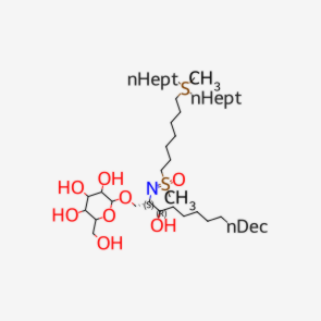 CCCCCCCCCCCCCCC[C@@H](O)[C@H](COC1OC(CO)C(O)C(O)C1O)N=S(C)(=O)CCCCCCCS(C)(CCCCCCC)CCCCCCC